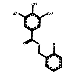 CC(C)(C)c1cc(C(=S)SCc2ccccc2F)cc(C(C)(C)C)c1O